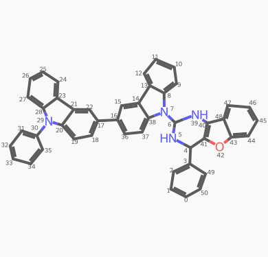 c1ccc(C2NC(n3c4ccccc4c4cc(-c5ccc6c(c5)c5ccccc5n6-c5ccccc5)ccc43)Nc3c2oc2ccccc32)cc1